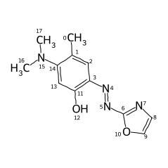 Cc1cc(/N=N/c2ncco2)c(O)cc1N(C)C